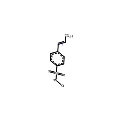 O=C(O)/C=C/c1ccc(S(=O)(=O)NCl)cc1